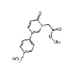 CC(C)(C)OC(=O)Cn1cc(-c2ccc(C(=O)O)cc2)ccc1=O